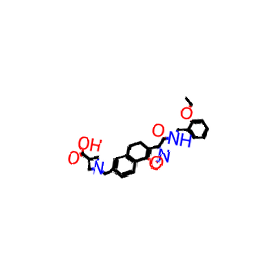 CCOc1ccccc1CNC(=O)c1noc2c1CCc1cc(CN3CC(C(=O)O)C3)ccc1-2